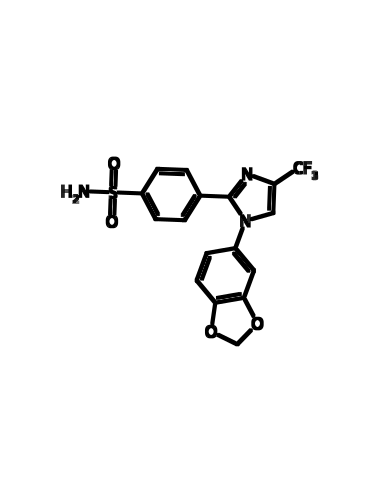 NS(=O)(=O)c1ccc(-c2nc(C(F)(F)F)cn2-c2ccc3c(c2)OCO3)cc1